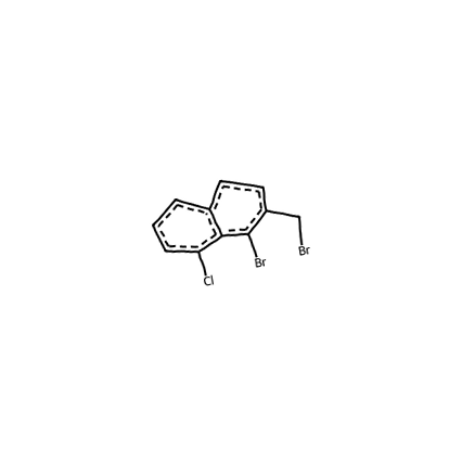 Clc1cccc2ccc(CBr)c(Br)c12